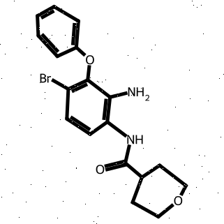 Nc1c(NC(=O)C2CCOCC2)ccc(Br)c1Oc1ccccc1